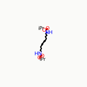 CC(C)OC(=O)NCCCCC#CC#CCCCCNC(=O)OC(C)C